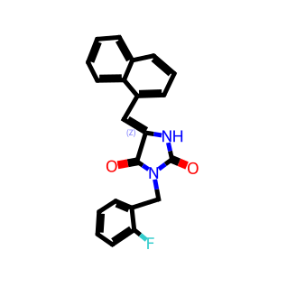 O=C1N/C(=C\c2cccc3ccccc23)C(=O)N1Cc1ccccc1F